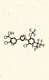 O=C(O)c1cc(-c2cnn(-c3c(Cl)cc(C(F)(C(F)(F)F)C(F)(F)F)cc3OC(F)(F)F)c2)cnc1Cl